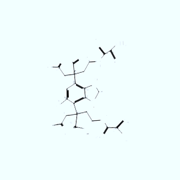 C=C(C)C(=O)OCCC(CC(=O)O)(C(=O)O)c1cc(C)c(C(CCOC(=O)C(=C)C)(CC(=O)O)C(=O)O)c2c1SCS2